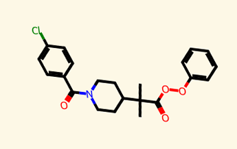 CC(C)(C(=O)OOc1ccccc1)C1CCN(C(=O)c2ccc(Cl)cc2)CC1